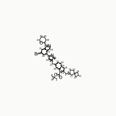 CC(C)(C)OC(=O)n1c(CN2CCC3(CCC3)C2)cc2ccc(Cn3cc(-c4cc(Br)cc5c4cnn5C4CCCCO4)nn3)cc21